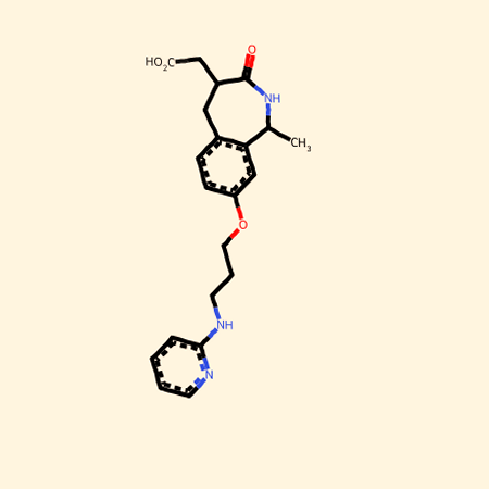 CC1NC(=O)C(CC(=O)O)Cc2ccc(OCCCNc3ccccn3)cc21